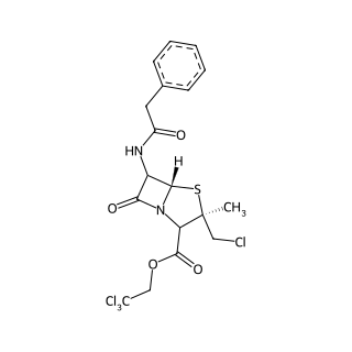 C[C@@]1(CCl)S[C@H]2C(NC(=O)Cc3ccccc3)C(=O)N2C1C(=O)OCC(Cl)(Cl)Cl